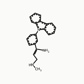 CNC/C=C(\N)c1cccc(-n2c3ccccc3c3ccccc32)c1